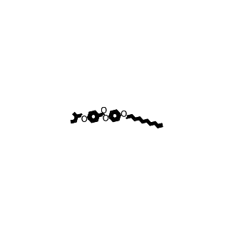 C=CCCCCCCCCOc1ccc(OC(=O)c2ccc(OCC(C)CC)cc2)cc1